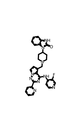 O=c1[nH]c2ccccc2n1C1CCN(Cc2ccn3nc(-c4ccccn4)nc(Nc4ccncc4F)c23)CC1